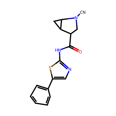 N#CN1CC(C(=O)Nc2ncc(-c3ccccc3)s2)C2CC21